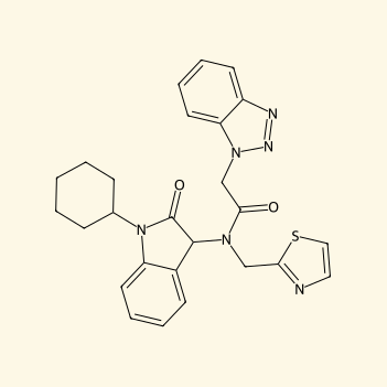 O=C(Cn1nnc2ccccc21)N(Cc1nccs1)C1C(=O)N(C2CCCCC2)c2ccccc21